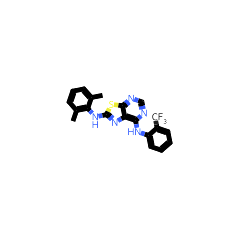 Cc1cccc(C)c1Nc1nc2c(Nc3ccccc3C(F)(F)F)ncnc2s1